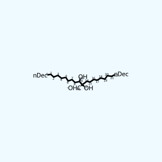 CCCCCCCCCCCCCCCCCCC(O)C(O)([C]=O)CCCCCCCCCCCCCCCCCC